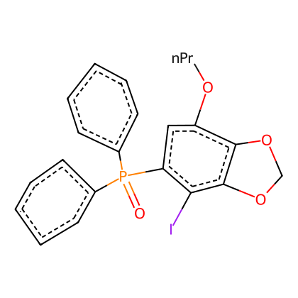 CCCOc1cc(P(=O)(c2ccccc2)c2ccccc2)c(I)c2c1OCO2